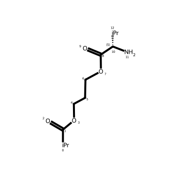 CC(C)C(=O)OCCCOC(=O)[C@@H](N)C(C)C